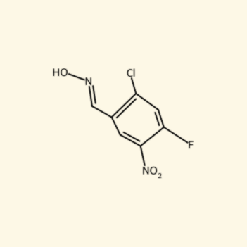 O=[N+]([O-])c1cc(/C=N/O)c(Cl)cc1F